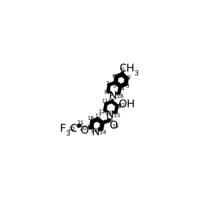 Cc1ccc2c(c1)CCN([C@@H]1CCN(C(=O)c3ccc(OCC(F)(F)F)nc3)C[C@H]1O)C2